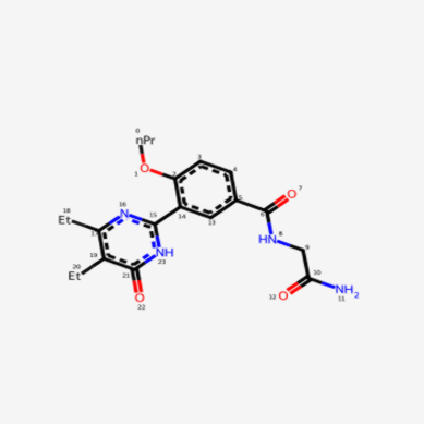 CCCOc1ccc(C(=O)NCC(N)=O)cc1-c1nc(CC)c(CC)c(=O)[nH]1